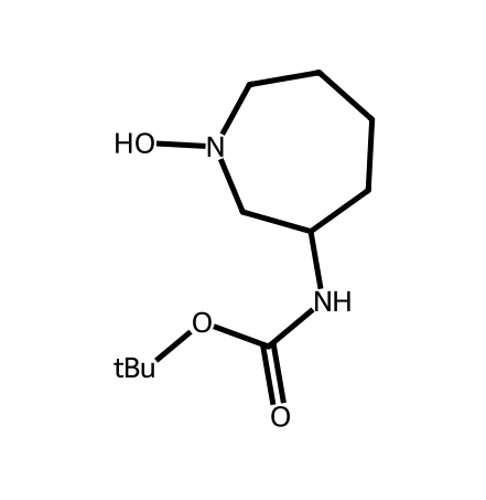 CC(C)(C)OC(=O)NC1CCCCN(O)C1